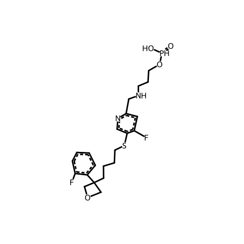 O=[PH](O)OCCCNCc1cc(F)c(SCCCCC2(c3ccccc3F)COC2)cn1